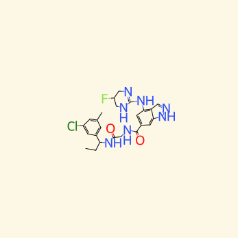 CCC(NC(=O)CNC(=O)c1cc(NC2=NCC(F)CN2)c2cn[nH]c2c1)c1cc(C)cc(Cl)c1